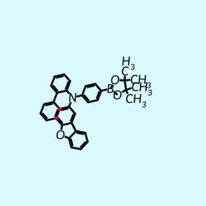 CC1(C)OB(c2ccc(N(c3ccc4oc5ccccc5c4c3)c3ccccc3-c3ccccc3)cc2)OC1(C)C